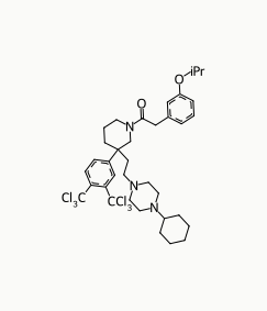 CC(C)Oc1cccc(CC(=O)N2CCCC(CCN3CCN(C4CCCCC4)CC3)(c3ccc(C(Cl)(Cl)Cl)c(C(Cl)(Cl)Cl)c3)C2)c1